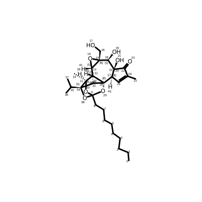 CCCCCCCCCC12O[C@@H]3[C@@H]4[C@@H]5O[C@]5(CO)[C@@H](O)[C@]5(O)C(=O)C(C)=C[C@H]5[C@@]4(O1)[C@H](C)[C@@H](C)[C@]3(C(C)C)O2